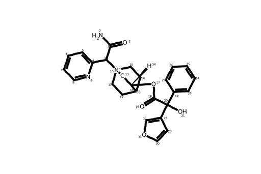 NC(=O)C(c1ccccn1)[N+]12CCC(CC1)[C@@H](OC(=O)C(O)(c1ccccc1)c1ccoc1)C2